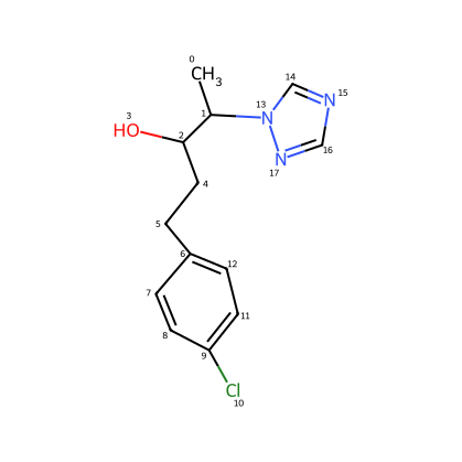 CC(C(O)CCc1ccc(Cl)cc1)n1cncn1